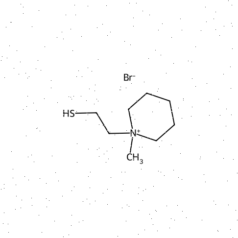 C[N+]1(CCS)CCCCC1.[Br-]